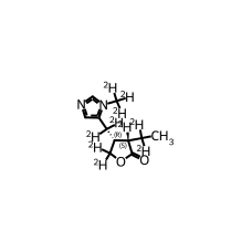 [2H]C1([2H])OC(=O)[C@@]([2H])(C([2H])([2H])C)[C@H]1C([2H])([2H])c1cncn1C([2H])([2H])[2H]